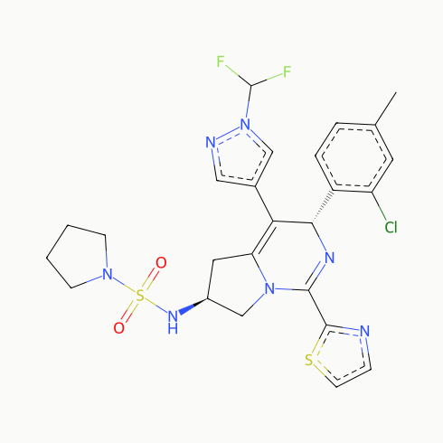 Cc1ccc([C@@H]2N=C(c3nccs3)N3C[C@@H](NS(=O)(=O)N4CCCC4)CC3=C2c2cnn(C(F)F)c2)c(Cl)c1